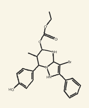 CCOC(=O)OC1NC2C(Br)=C(c3ccccc3)NN2C(c2ccc(O)cc2)C1C